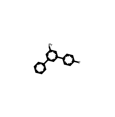 CC(C)c1[c]c(-c2ccc(F)cc2)cc(-c2ccccc2)c1